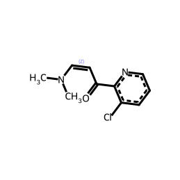 CN(C)/C=C\C(=O)c1ncccc1Cl